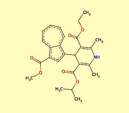 CCOC(=O)C1=C(C)NC(C)=C(C(=O)OC(C)C)C1c1cc(C(=O)OC)c2cccccc1-2